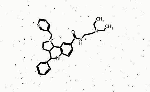 CCN(CC)CCNC(=O)c1ccc2c(c1)C1C(CCN1Cc1cccnc1)C(c1ccccc1)N2